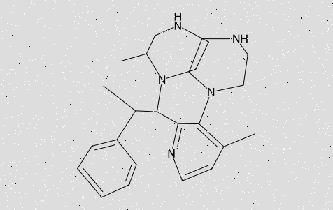 Cc1ccnc([C](C(C)c2ccccc2)N2CCNCC2C)c1N1CCNCC1